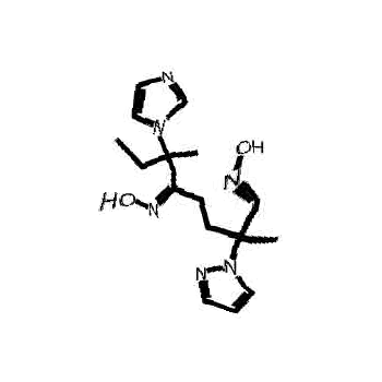 CCC(C)(C(CCC(C)(C=NO)n1cccn1)=NO)n1ccnc1